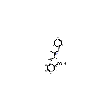 C/C(=C\c1ccccc1)SSc1ccccc1C(=O)O